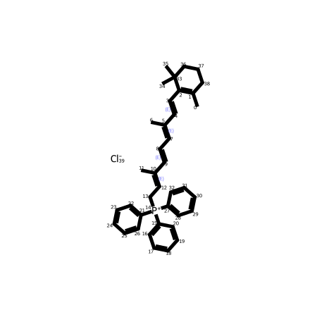 CC1=C(/C=C/C(C)=C/C=C/C(C)=C/C[P+](c2ccccc2)(c2ccccc2)c2ccccc2)C(C)(C)CCC1.[Cl-]